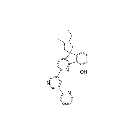 CCCCC1(CCCC)c2ccc(-c3cncc(-c4ccccn4)c3)nc2-c2c(O)cccc21